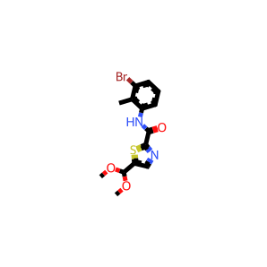 COC(OC)c1cnc(C(=O)Nc2cccc(Br)c2C)s1